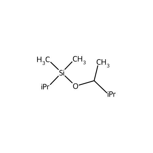 CC(C)C(C)O[Si](C)(C)C(C)C